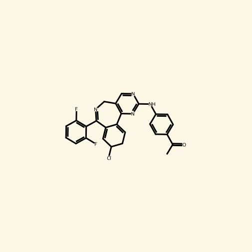 CC(=O)c1ccc(Nc2ncc3c(n2)C2=CCC(Cl)C=C2C(c2c(F)cccc2F)=NC3)cc1